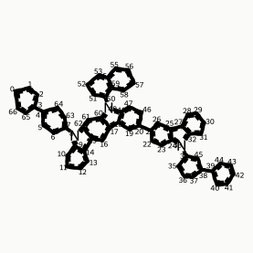 c1ccc(-c2ccc(-n3c4ccccc4c4cc5c6cc(-c7ccc8c(c7)c7ccccc7n8-c7cccc(-c8ccccc8)c7)ccc6n(-c6cccc7ccccc67)c5cc43)cc2)cc1